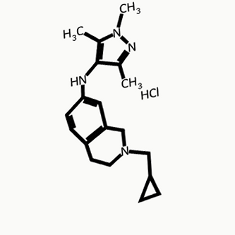 Cc1nn(C)c(C)c1Nc1ccc2c(c1)CN(CC1CC1)CC2.Cl